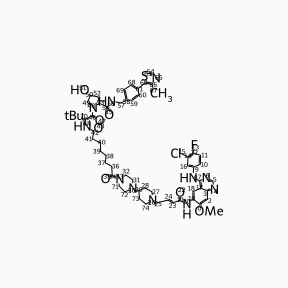 COc1cc2ncnc(Nc3ccc(F)c(Cl)c3)c2cc1NC(=O)/C=C/CN1CCC(N2CCN(C(=O)CCCCCCC(=O)NC(C(=O)N3C[C@H](O)C[C@H]3C(=O)NCc3ccc(-c4scnc4C)cc3)C(C)(C)C)CC2)CC1